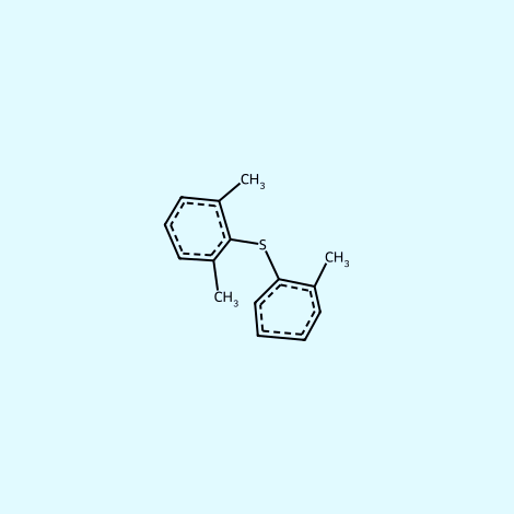 Cc1ccccc1Sc1c(C)cccc1C